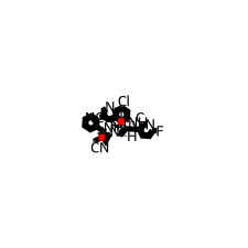 [2H]C(Nc1cc(Cl)c2ncc(C#N)c(N[C@H](CCC#N)c3ccccc3)c2c1)(c1cn(C2CC2)nn1)c1ccc(F)nc1C